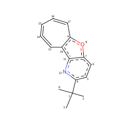 CC(C)(C)c1ccc2oc3c(c2n1)C=C=CC=C3